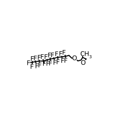 CC1COC1COCCC(F)(F)C(F)(F)C(F)(F)C(F)(F)C(F)(F)C(F)(F)C(F)(F)C(F)(F)C(F)(F)C(F)(F)F